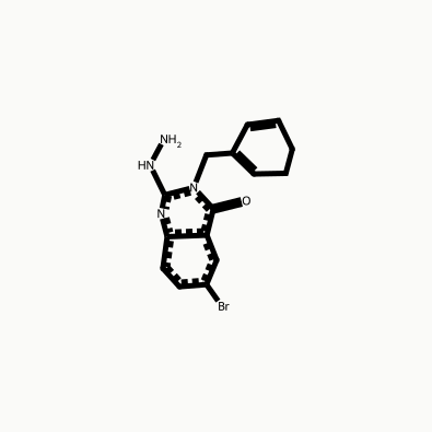 NNc1nc2ccc(Br)cc2c(=O)n1CC1=CCCC=C1